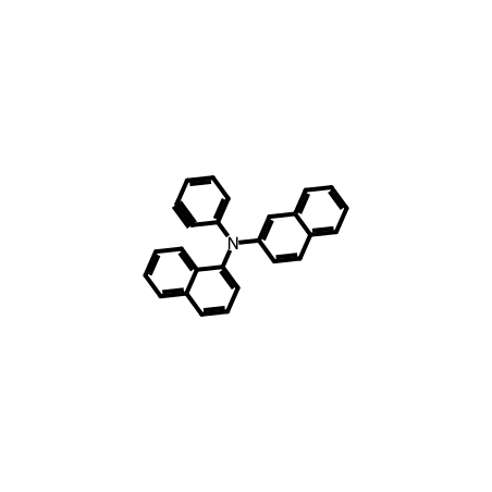 c1cccc(N(c2ccc3ccccc3c2)c2cccc3ccccc23)c#1